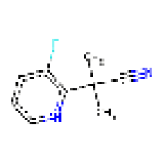 CC(C)(C#N)c1ncccc1F